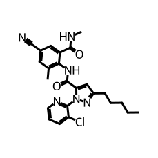 CCCCCc1cc(C(=O)Nc2c(C)cc(C#N)cc2C(=O)NC)n(-c2ncccc2Cl)n1